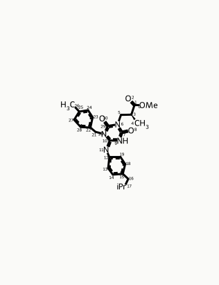 COC(=O)[C@@H](C)Cn1c(=O)[nH]/c(=N\c2ccc(CC(C)C)cc2)n(Cc2ccc(C)cc2)c1=O